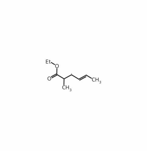 CC=C[CH]C(C)C(=O)OCC